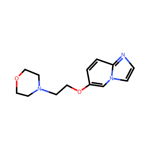 [c]1cnc2ccc(OCCN3CCOCC3)cn12